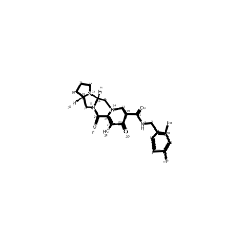 O=C(NCc1ccc(F)cc1F)C1CN2C[C@@H]3N(C[C@@H]4CCCN43)C(=O)C2=C(O)C1=O